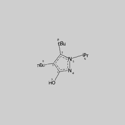 CCCCc1c(O)nn(C(C)C)c1C(C)(C)C